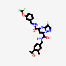 CC(=O)c1ccc(CNC(=O)c2cc(C(=O)NCc3cccc(OC(F)F)c3)nc3c(F)cnn23)cc1C